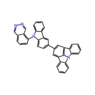 c1cc(-n2c3ccccc3c3cc(-c4cc5c6ccccc6n6c7ccccc7c(c4)c56)ccc32)c2cnncc2c1